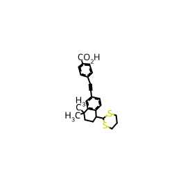 CC1(C)CCC(C2SCCCS2)c2ccc(C#Cc3ccc(C(=O)O)cc3)cc21